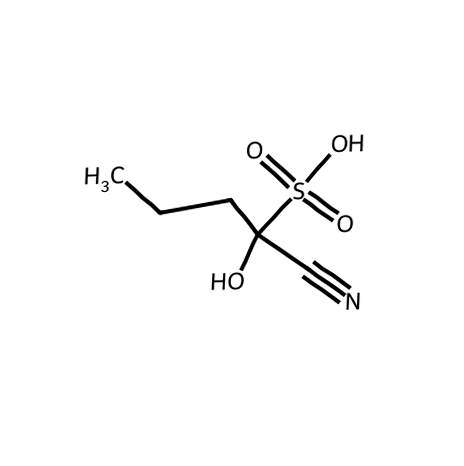 CCCC(O)(C#N)S(=O)(=O)O